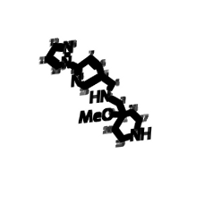 COC1(CNCc2ccc(-n3cccn3)nc2)CCNCC1